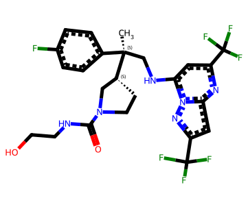 C[C@@](CNc1cc(C(F)(F)F)nc2cc(C(F)(F)F)nn12)(c1ccc(F)cc1)[C@@H]1CCN(C(=O)NCCO)C1